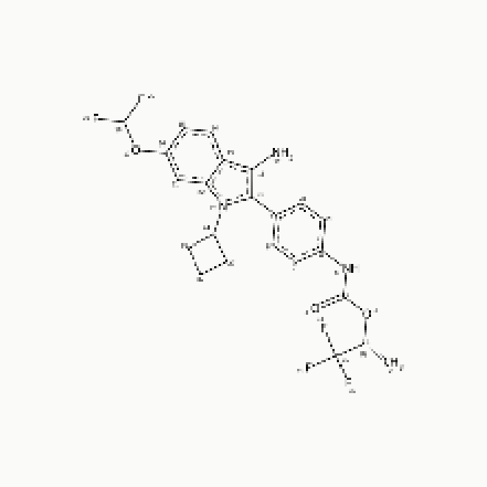 C[C@@H](OC(=O)Nc1ccc(-c2c(N)c3ccc(OC(F)F)cc3n2C2CCC2)cc1)C(F)(F)F